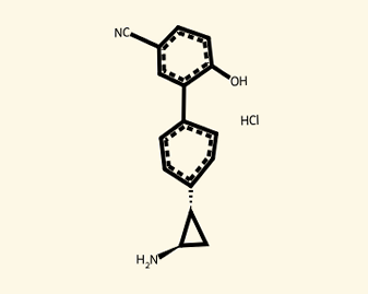 Cl.N#Cc1ccc(O)c(-c2ccc([C@@H]3C[C@H]3N)cc2)c1